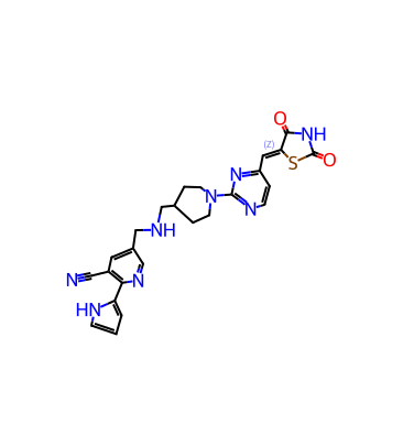 N#Cc1cc(CNCC2CCN(c3nccc(/C=C4\SC(=O)NC4=O)n3)CC2)cnc1-c1ccc[nH]1